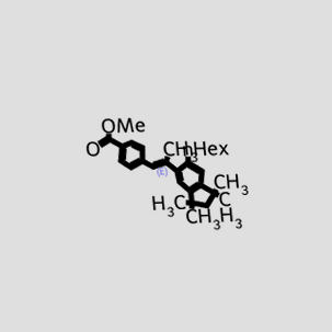 CCCCCCc1cc2c(cc1/C(C)=C/c1ccc(C(=O)OC)cc1)C(C)(C)CC2(C)C